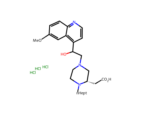 CCCCCCCN1CCN(CC(O)c2ccnc3ccc(OC)cc23)C[C@@H]1CC(=O)O.Cl.Cl.Cl